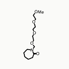 COCCOCCOCCOCN1CCCCCC1=O